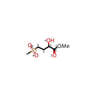 COC(=O)C(O)CCS(C)(=O)=O